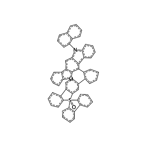 O=S12(c3ccccc3-c3ccccc31)c1ccccc1-c1ccc(-c3ccccc3-c3c4oc5ccccc5c4cc4c3c3ccccc3n4-c3cccc4ccccc34)cc12